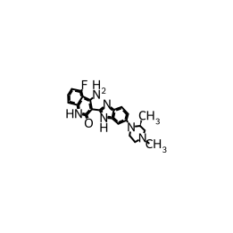 C[C@H]1CN(C)CCN1c1ccc2nc(-c3c(N)c4c(F)cccc4[nH]c3=O)[nH]c2c1